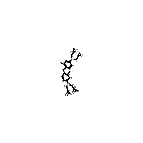 Cc1cc(N(CC2CO2)CC2CO2)ccc1Cc1ccc(N(CC2CO2)CC2CO2)cc1C